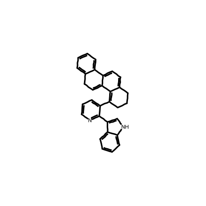 C1=c2c(ccc3c2=C(c2cccnc2-c2c[nH]c4ccccc24)CCC3)-c2ccccc2C1